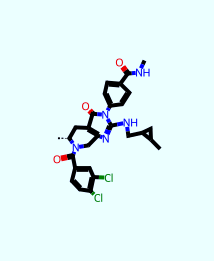 CNC(=O)c1ccc(-n2c(NCC3CC3C)nc3c(c2=O)C[C@@H](C)N(C(=O)c2ccc(Cl)c(Cl)c2)C3)cc1